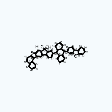 CC1(C)c2cc(-c3c4ccccc4c(-c4ccc5c(c4)oc4ccccc45)c4ccccc34)ccc2-c2cc3c(cc21)sc1ccc2ccccc2c13